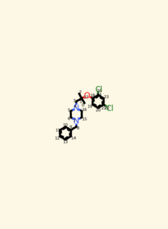 CC(C)(CN1CCN(Cc2ccccc2)CC1)Oc1ccc(Cl)cc1Cl